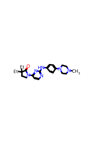 CCC1(CC)CCN(c2ccnc(Nc3ccc(N4CCN(C)CC4)cc3)n2)C1=O